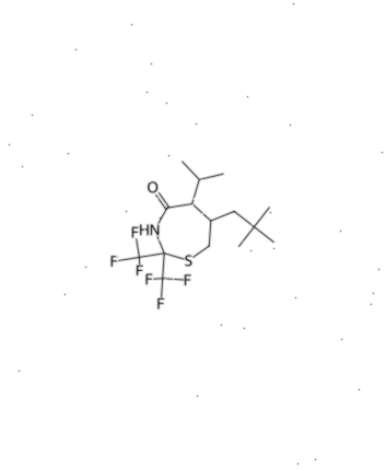 CC(C)C1C(=O)NC(C(F)(F)F)(C(F)(F)F)SCC1CC(C)(C)C